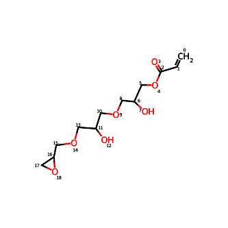 C=CC(=O)OCC(O)COCC(O)COCC1CO1